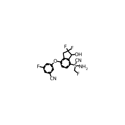 N#Cc1cc(F)cc(Oc2ccc(S(N)(C#N)CF)c3c2CC(F)(F)C3O)c1